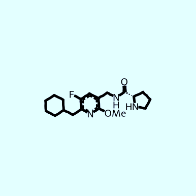 COc1nc(CC2CCCCC2)c(F)cc1CNC(=O)[C@@H]1CCCN1